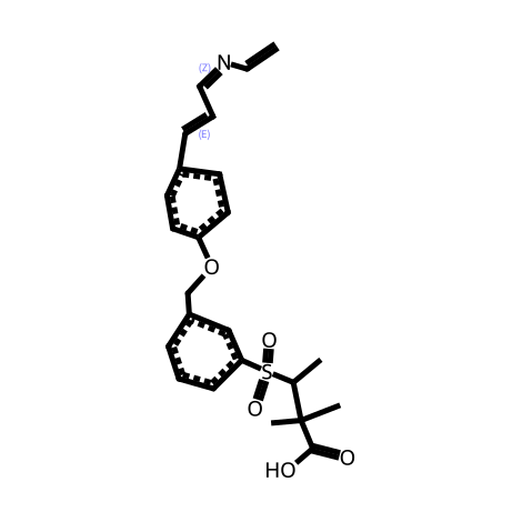 C=C/N=C\C=C\c1ccc(OCc2cccc(S(=O)(=O)C(C)C(C)(C)C(=O)O)c2)cc1